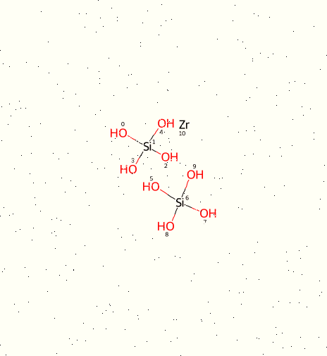 O[Si](O)(O)O.O[Si](O)(O)O.[Zr]